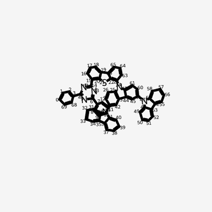 c1ccc(-c2nc(-c3ccccc3)nc(-c3cccc4c3sc3c(-n5c6ccc(-n7c8ccccc8c8ccccc87)cc6c6cc(-n7c8ccccc8c8ccccc87)ccc65)cccc34)n2)cc1